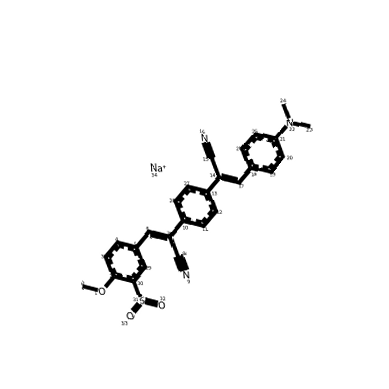 COc1ccc(C=C(C#N)c2ccc(C(C#N)=Cc3ccc(N(C)C)cc3)cc2)cc1[S-](=O)=O.[Na+]